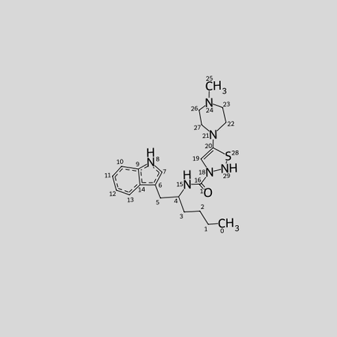 CCCCC(Cc1c[nH]c2ccccc12)NC(=O)N1C=C(N2CCN(C)CC2)SN1